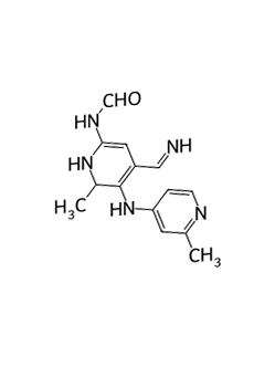 Cc1cc(NC2=C(C=N)C=C(NC=O)NC2C)ccn1